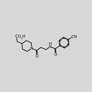 N#Cc1ccc(C(=O)NCCC(=O)N2CCC(CC(=O)O)CC2)cc1